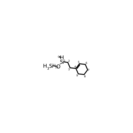 C[SiH](CCC1=CCCCC1)O[SiH3]